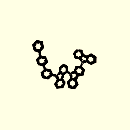 c1ccc(-c2ccc(-c3cccc(-n4c5ccccc5c5c(-n6c7ccccc7c7ccc(-n8c9ccccc9c9ccccc98)cc76)cccc54)c3)cc2)cc1